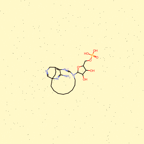 NC1=NC23C=NCC(=C1/N=C\N(C1OC(COP(=O)(O)O)C(O)C1O)CCCCCCCC2)CC3